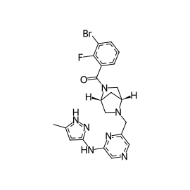 Cc1cc(Nc2cncc(CN3C[C@H]4C[C@@H]3CN4C(=O)c3cccc(Br)c3F)n2)n[nH]1